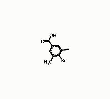 Cc1cc(C(=O)O)cc(F)c1Br